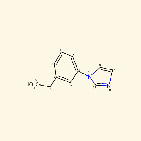 O=C(O)Cc1cccc(-n2ccnc2)c1